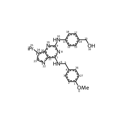 COc1ccc(CNc2nc(Nc3ccc(CO)cc3)nc3c2ncn3C(C)C)cc1